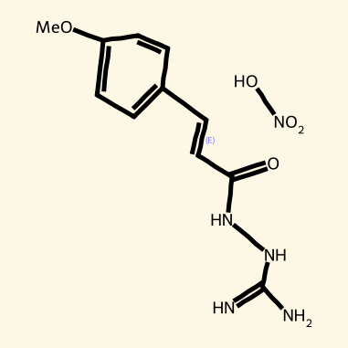 COc1ccc(/C=C/C(=O)NNC(=N)N)cc1.O=[N+]([O-])O